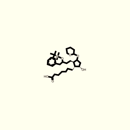 CC(C)(C)[Si](C)(C)OC(CC[C@H]1C(OC2CCCCO2)C[C@H](O)[C@@H]1CCCCCCC(=O)O)Cc1ccccc1